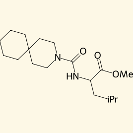 COC(=O)C(CC(C)C)NC(=O)N1CCC2(CCCCC2)CC1